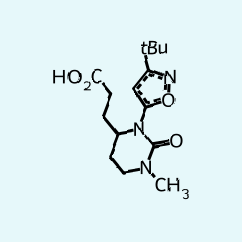 CN1CCC(CCC(=O)O)N(c2cc(C(C)(C)C)no2)C1=O